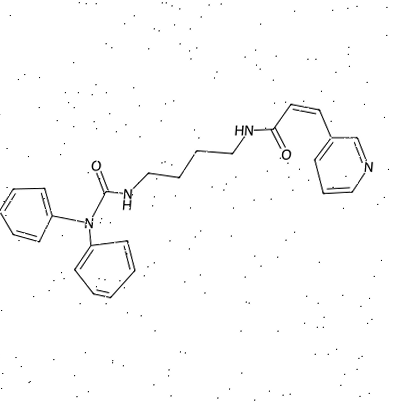 O=C(/C=C\c1cccnc1)NCCCCNC(=O)N(c1ccccc1)c1ccccc1